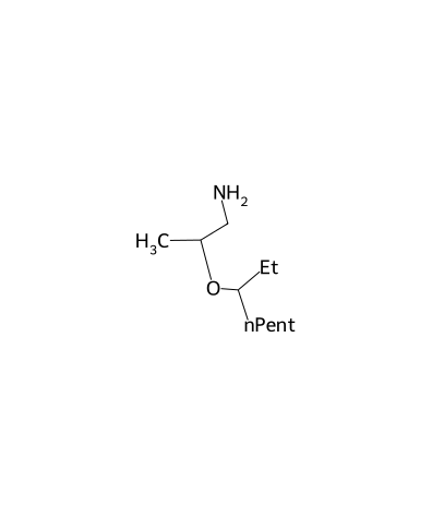 CCCCCC(CC)OC(C)CN